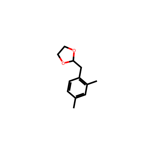 Cc1ccc(CC2OCCO2)c(C)c1